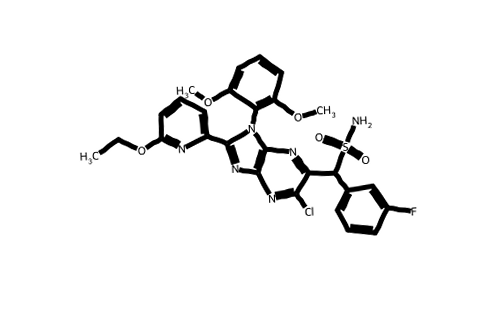 CCOc1cccc(-c2nc3nc(Cl)c(C(c4cccc(F)c4)S(N)(=O)=O)nc3n2-c2c(OC)cccc2OC)n1